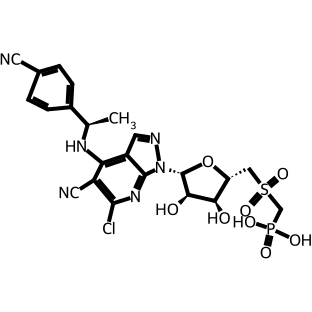 C[C@@H](Nc1c(C#N)c(Cl)nc2c1cnn2[C@@H]1O[C@H](CS(=O)(=O)CP(=O)(O)O)[C@@H](O)[C@H]1O)c1ccc(C#N)cc1